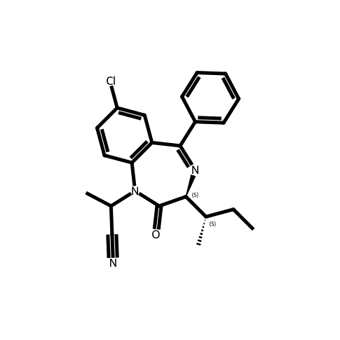 CC[C@H](C)[C@@H]1N=C(c2ccccc2)c2cc(Cl)ccc2N(C(C)C#N)C1=O